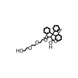 COc1ccccc1C(c1ccccc1)(c1ccccc1OC)C(COCCOCCOCCO)C(=O)O